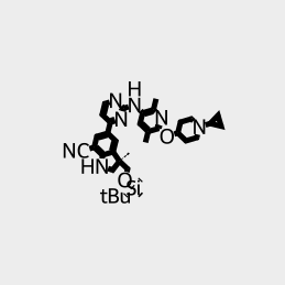 Cc1cc(Nc2nccc(-c3cc(C#N)c4c(c3)[C@@](C)(CO[Si](C)(C)C(C)(C)C)CN4)n2)c(C)nc1OC1CCN(C2CC2)CC1